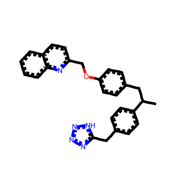 CC(Cc1ccc(OCc2ccc3ccccc3n2)cc1)c1ccc(Cc2nnn[nH]2)cc1